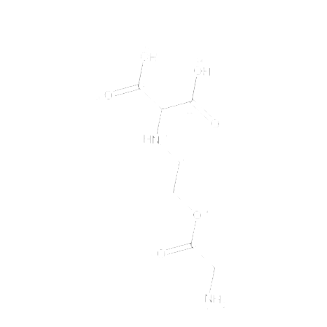 NCC(=O)OCCNC(C(=O)O)C(=O)O